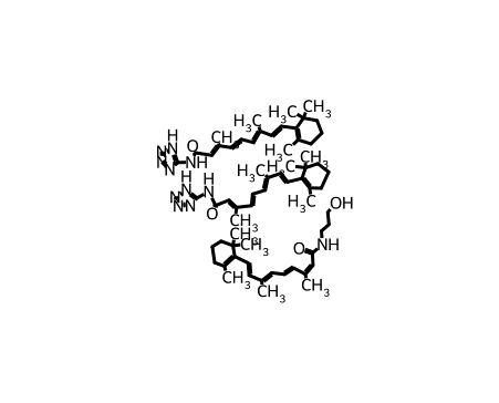 CC(C=CC1=C(C)CCCC1(C)C)=CC=C/C(C)=C\C(=O)NCCCO.CC(C=CC1=C(C)CCCC1(C)C)=CC=CC(C)=CC(=O)Nc1nnn[nH]1.CC1=C(/C=C/C(C)=C/C=C/C(C)=C/C(=O)Nc2nnn[nH]2)C(C)(C)CCC1